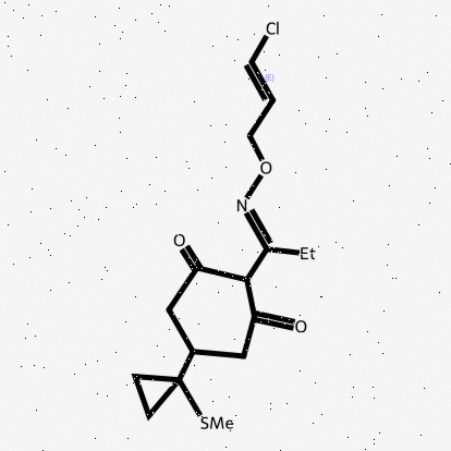 CCC(=NOC/C=C/Cl)C1C(=O)CC(C2(SC)CC2)CC1=O